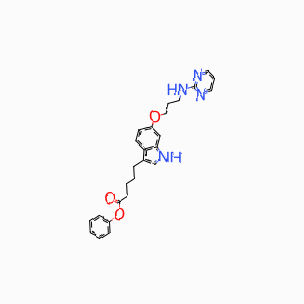 O=C(CCCCc1c[nH]c2cc(OCCCNc3ncccn3)ccc12)Oc1ccccc1